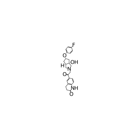 O=C1CCc2cc(C(=O)CN3C[C@H]4C[C@H](Oc5ccc(F)cc5)C[C@@]4(O)C3)ccc2N1